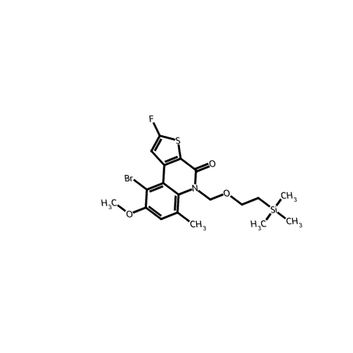 COc1cc(C)c2c(c1Br)c1cc(F)sc1c(=O)n2COCC[Si](C)(C)C